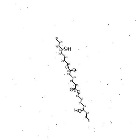 CCCC(O)CCCCOC(=O)CCCCC(=O)OCCCCC(O)CCC